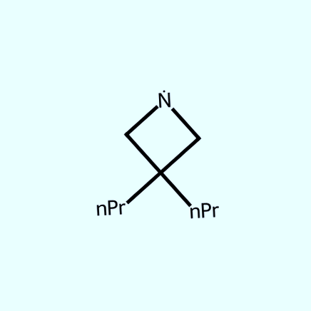 CCCC1(CCC)C[N]C1